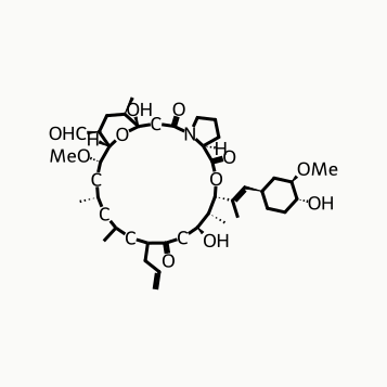 C=CCC1CC(C)C[C@H](C)C[C@H](OC)[C@H]2O[C@@](O)(CC(=O)N3CCC[C@H]3C(=O)O[C@H](/C(C)=C/[C@@H]3CC[C@@H](O)[C@H](OC)C3)[C@H](C)[C@@H](O)CC1=O)[C@H](C)C[C@@H]2C=O